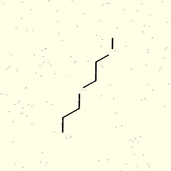 CCCCOCCOCCO.O.[Na+].[OH-]